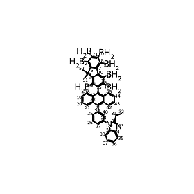 Bc1c(B)c(B)c2c(c1B)-c1c(B)c(B)c(-c3c4ccccc4c(-c4cccc(-n5c(CC)nc6ccccc65)c4)c4ccccc34)c(B)c1C2(C)C